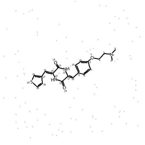 CN(C)CCOc1ccc(C=c2[nH]c(=O)c(=Cc3ccsc3)[nH]c2=O)cc1